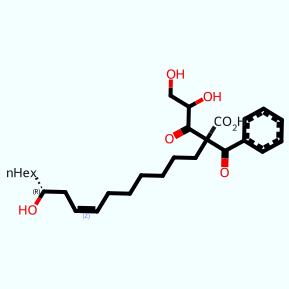 CCCCCC[C@@H](O)C/C=C\CCCCCCC(C(=O)O)(C(=O)c1ccccc1)C(=O)C(O)CO